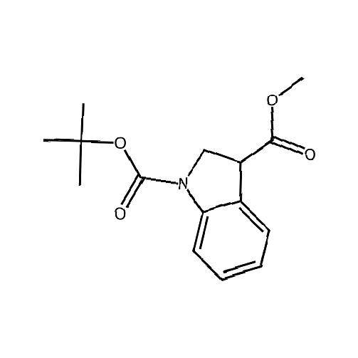 COC(=O)C1CN(C(=O)OC(C)(C)C)c2ccccc21